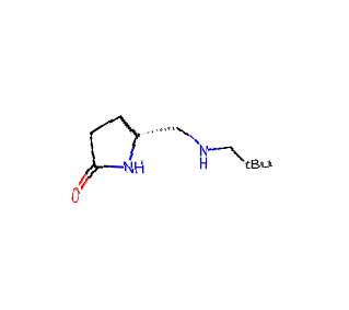 CC(C)(C)CNC[C@H]1CCC(=O)N1